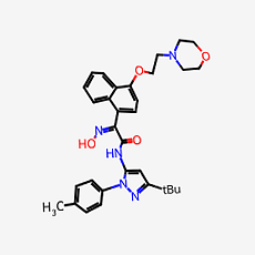 Cc1ccc(-n2nc(C(C)(C)C)cc2NC(=O)C(=NO)c2ccc(OCCN3CCOCC3)c3ccccc23)cc1